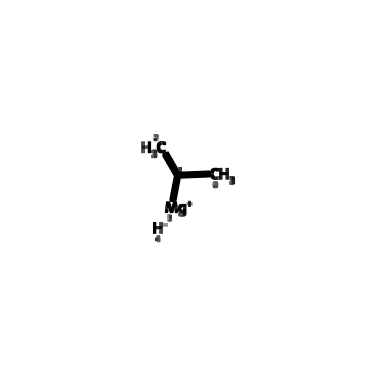 C[CH](C)[Mg+].[H-]